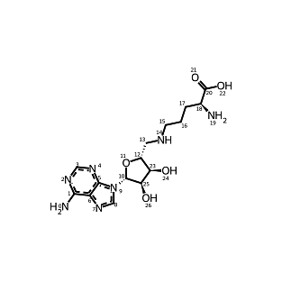 Nc1ncnc2c1ncn2[C@@H]1O[C@H](CNCCC[C@H](N)C(=O)O)[C@@H](O)[C@H]1O